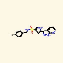 O=S(=O)(NCc1ccc(C(F)(F)F)cc1)c1c[nH]c(-c2n[nH]c3ncccc23)c1